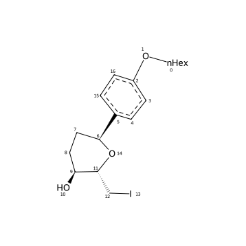 CCCCCCOc1ccc([C@@H]2CC[C@H](O)[C@@H](CI)O2)cc1